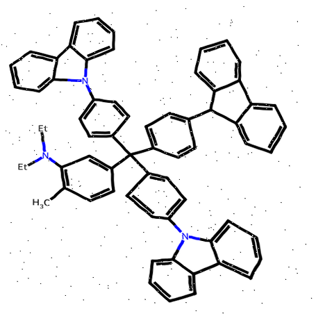 CCN(CC)c1cc(C(c2ccc(C3c4ccccc4-c4ccccc43)cc2)(c2ccc(-n3c4ccccc4c4ccccc43)cc2)c2ccc(-n3c4ccccc4c4ccccc43)cc2)ccc1C